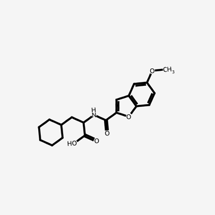 COc1ccc2oc(C(=O)NC(CC3CCCCC3)C(=O)O)cc2c1